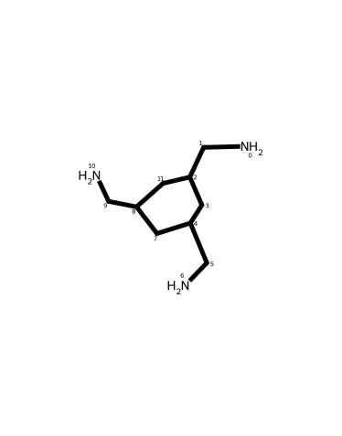 NCC1CC(CN)CC(CN)C1